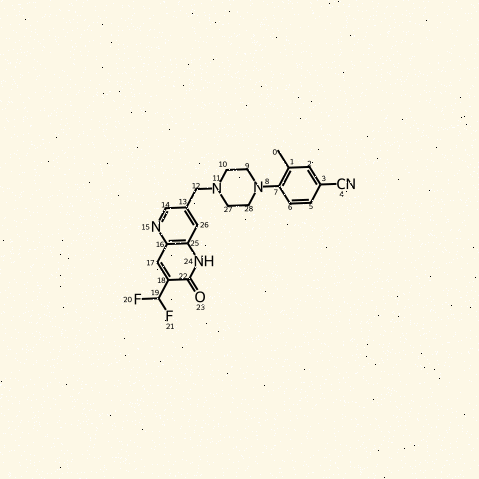 Cc1cc(C#N)ccc1N1CCN(Cc2cnc3cc(C(F)F)c(=O)[nH]c3c2)CC1